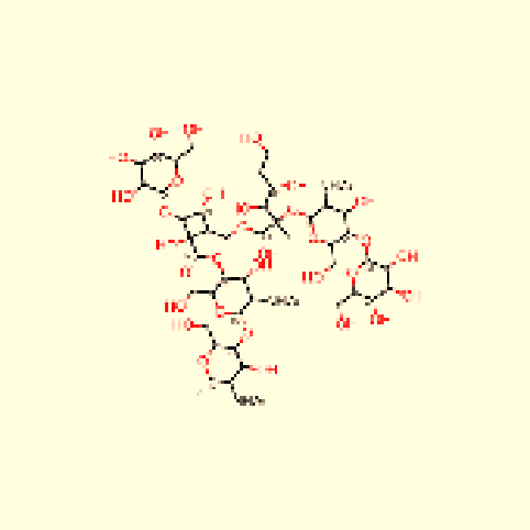 CC(=O)NC1C(O)[C@H](O[C@@H]2OC(CO)[C@H](O)C(O)C2O)C(CO)O[C@H]1OC(C)(C(O)[C@H](O)CCO)[C@H](O)OCC1[C@@H](O)C(O[C@H]2OC(CO)[C@@H](O)C(O)C2O)C1(O)[C@@H](O)O[C@@H]1C(CO)O[C@@H](O[C@@H]2C(CO)O[C@@H](C)C(NC(C)=O)C2O)C(NC(C)=O)C1O